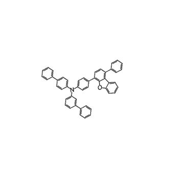 c1ccc(-c2ccc(N(c3ccc(-c4ccc(-c5ccccc5)c5c4oc4ccccc45)cc3)c3cccc(-c4ccccc4)c3)cc2)cc1